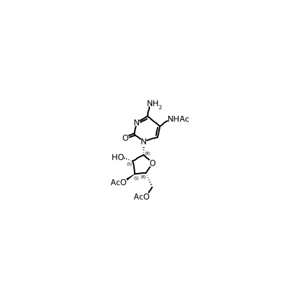 CC(=O)Nc1cn([C@@H]2O[C@H](COC(C)=O)[C@@H](OC(C)=O)[C@@H]2O)c(=O)nc1N